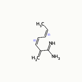 C=C(/C=C\C=C/C)C(=N)N